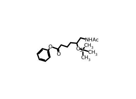 CC(=O)NCC(CCCC(=O)Oc1ccccc1)O[Si](C)(C)C